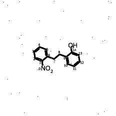 O=[N+]([O-])c1ccccc1CCc1ccccc1O